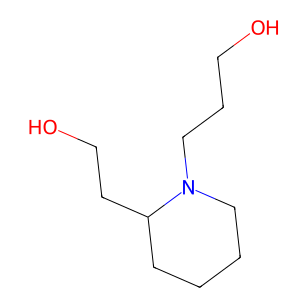 OCCCN1CCCCC1CCO